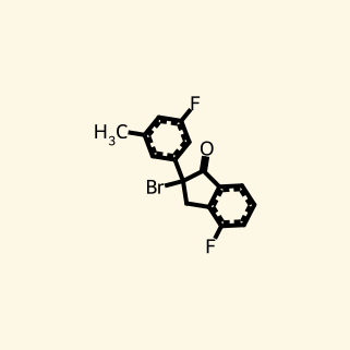 Cc1cc(F)cc(C2(Br)Cc3c(F)cccc3C2=O)c1